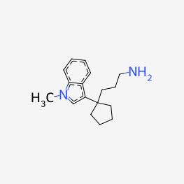 Cn1cc(C2(CCCN)CCCC2)c2ccccc21